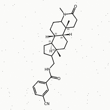 CN1C(=O)CC[C@@]2(C)C1CC[C@@H]1[C@H]2CC[C@]2(C)C(CNC(=O)c3cccc(C#N)c3)CC[C@@H]12